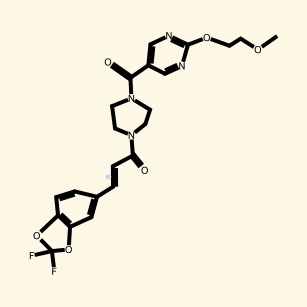 COCCOc1ncc(C(=O)N2CCN(C(=O)/C=C/c3ccc4c(c3)OC(F)(F)O4)CC2)cn1